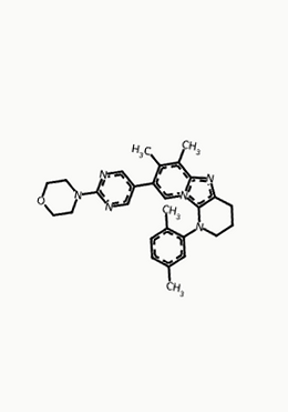 Cc1ccc(C)c(N2CCCc3nc4c(C)c(C)c(-c5cnc(N6CCOCC6)nc5)cn4c32)c1